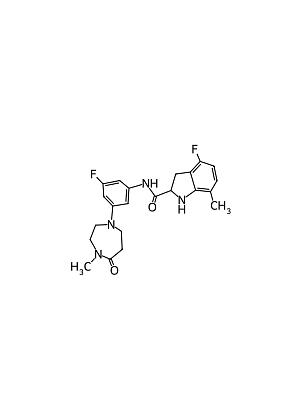 Cc1ccc(F)c2c1NC(C(=O)Nc1cc(F)cc(N3CCC(=O)N(C)CC3)c1)C2